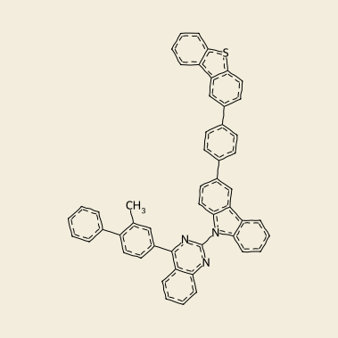 Cc1cc(-c2nc(-n3c4ccccc4c4cc(-c5ccc(-c6ccc7sc8ccccc8c7c6)cc5)ccc43)nc3ccccc23)ccc1-c1ccccc1